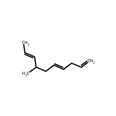 C=CC/C=C/CC(C)/C=C/C